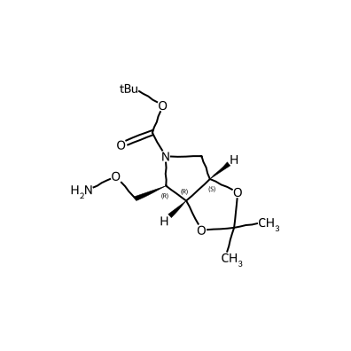 CC(C)(C)OC(=O)N1C[C@@H]2OC(C)(C)O[C@@H]2[C@H]1CON